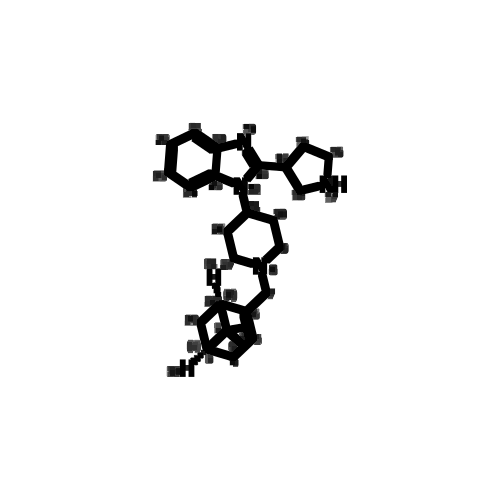 CC1(C)[C@H]2CC=C(CN3CCC(n4c(C5CCNC5)nc5ccccc54)CC3)[C@@H]1C2